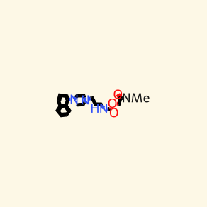 CNC(=O)COC(=O)NCCCN1CCN(c2cccc3ccccc23)CC1